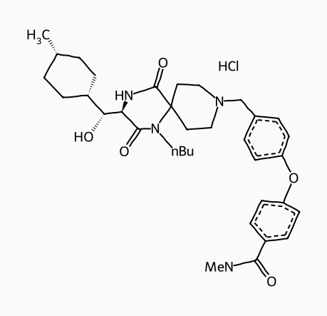 CCCCN1C(=O)[C@@H]([C@H](O)[C@H]2CC[C@@H](C)CC2)NC(=O)C12CCN(Cc1ccc(Oc3ccc(C(=O)NC)cc3)cc1)CC2.Cl